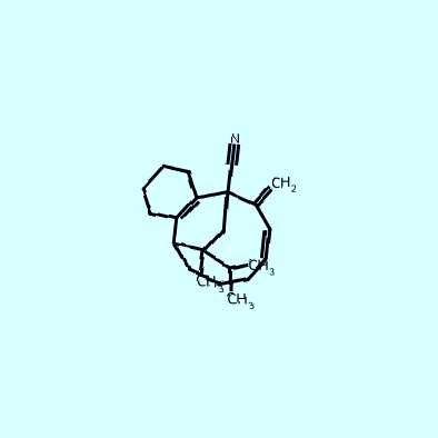 C=C1/C=C\CCCC2C3=C(CCCC3)C1(C#N)CC2(C)C(C)C